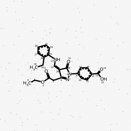 CCOC(=O)CC1=NN(c2ccc(C(=O)O)cc2)C(=O)C1=CNc1ccccc1CC